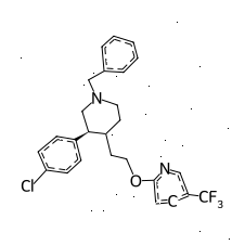 FC(F)(F)c1ccc(OCCC2CCN(Cc3ccccc3)C[C@@H]2c2ccc(Cl)cc2)nc1